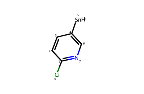 Clc1cc[c]([SnH])cn1